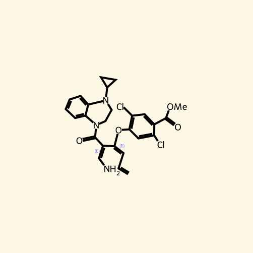 C=C/C=C(Oc1cc(Cl)c(C(=O)OC)cc1Cl)\C(=C/N)C(=O)N1CCN(C2CC2)c2ccccc21